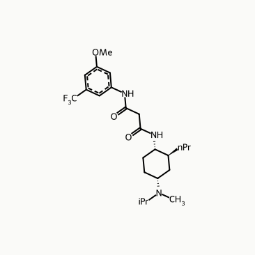 CCC[C@H]1C[C@H](N(C)C(C)C)CC[C@@H]1NC(=O)CC(=O)Nc1cc(OC)cc(C(F)(F)F)c1